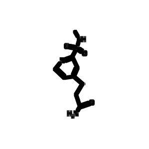 CNS(=O)(=O)c1cc([CH]CC(N)=O)ccn1